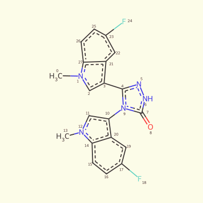 Cn1cc(-c2n[nH]c(=O)n2-c2cn(C)c3ccc(F)cc23)c2cc(F)ccc21